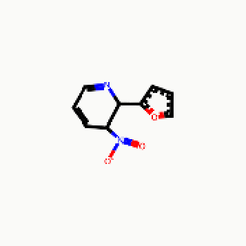 O=[N+]([O-])C1C=CC=NC1c1ccco1